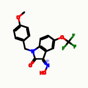 COc1ccc(CN2C(=O)/C(=N\O)c3cc(OC(F)(F)F)ccc32)cc1